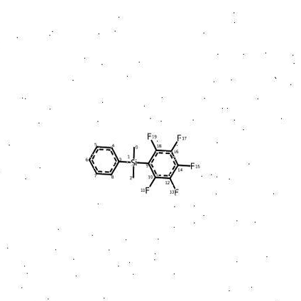 C[Si](C)(c1ccccc1)c1c(F)c(F)c(F)c(F)c1F